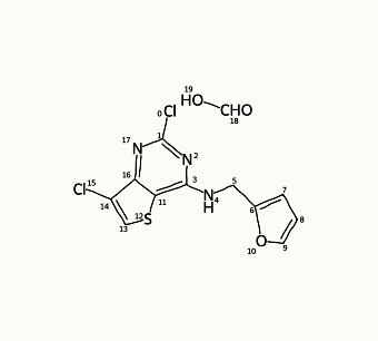 Clc1nc(NCc2ccco2)c2scc(Cl)c2n1.O=CO